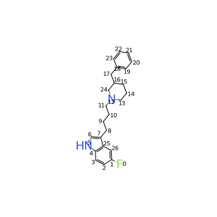 Fc1ccc2[nH]cc(CCCCN3CCCC(Cc4ccccc4)C3)c2c1